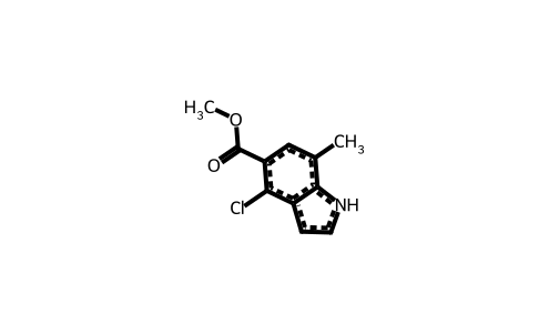 COC(=O)c1cc(C)c2[nH]ccc2c1Cl